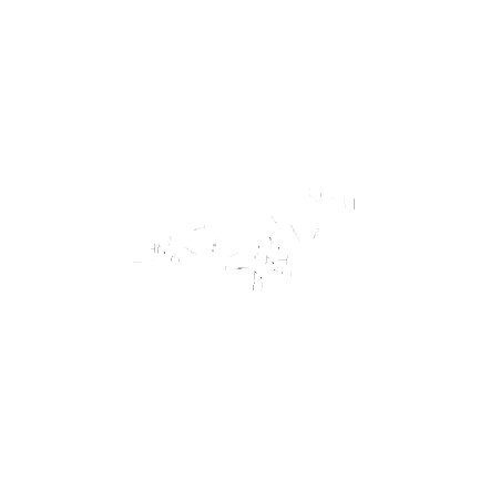 CNS(=O)(=O)c1ccc2oc([C@]3(CN4Cc5ccc(OC)cc5C4=O)NC(=O)NC3=O)cc2c1